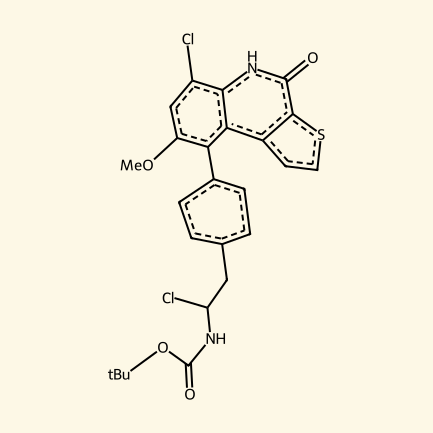 COc1cc(Cl)c2[nH]c(=O)c3sccc3c2c1-c1ccc(CC(Cl)NC(=O)OC(C)(C)C)cc1